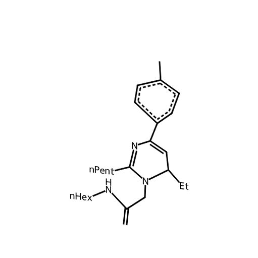 C=C(CN1C(CCCCC)=NC(c2ccc(C)cc2)=CC1CC)NCCCCCC